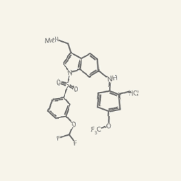 CNCc1cn(S(=O)(=O)c2cccc(OC(F)F)c2)c2cc(Nc3ccc(OC(F)(F)F)cc3C)ccc12.Cl